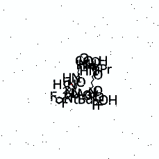 CC(=O)N(CC[C@H](N)C(=O)NCCCC[C@H](NC(=O)[C@H](C)NC(=O)[C@@H](NC(=O)CCCCCN1C(=O)C=CC1=O)C(C)C)C(=O)O)[C@@H](c1nc(-c2cc(F)ccc2F)cn1Cc1ccccc1)C(C)(C)C.O=C(O)C(F)(F)F